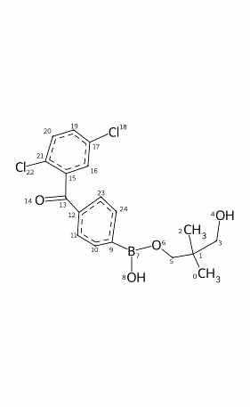 CC(C)(CO)COB(O)c1ccc(C(=O)c2cc(Cl)ccc2Cl)cc1